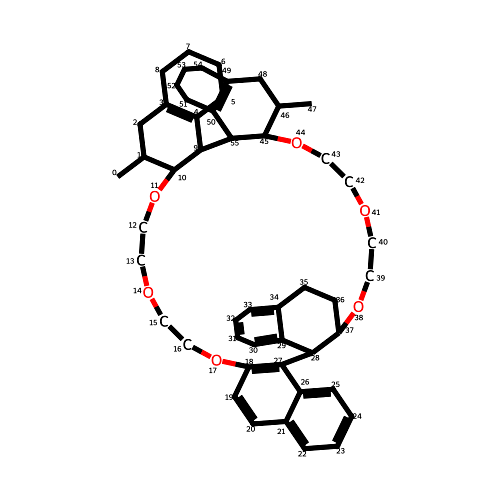 CC1CC2=C(CCCC2)C2C1OCCOCCOc1ccc3ccccc3c1C1c3ccccc3CCC1OCCOCCOC1C(C)CC3=C(CCCC3)C12